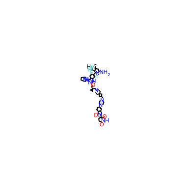 Cc1cc(N)nc(-c2ccc3c(N4CC5CCC(C4)N5)nc(OCC4(CN5CCC6(CC5)CC(CN5CCN(c7ccc8c(c7)CN([C@H]7CCC(=O)NC7=O)C8=O)CC5)C6)CC4)nc3c2F)c1C(F)(F)F